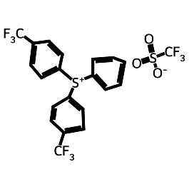 FC(F)(F)c1ccc([S+](c2ccccc2)c2ccc(C(F)(F)F)cc2)cc1.O=S(=O)([O-])C(F)(F)F